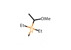 CC[PH](C)(CC)C(C)OC